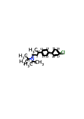 CC(CCN(C(C)C)C(C)C)c1ccc(-c2ccc(Cl)cc2)cc1